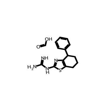 N=C(N)Nc1nc2c(s1)CCCC2c1ccccc1.O=CO